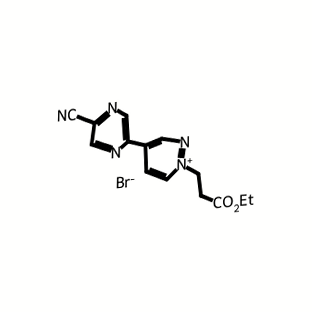 CCOC(=O)CC[n+]1ccc(-c2cnc(C#N)cn2)cn1.[Br-]